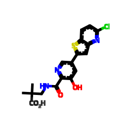 CC(C)(CNC(=O)c1ncc(-c2cc3nc(Cl)ccc3s2)cc1O)C(=O)O